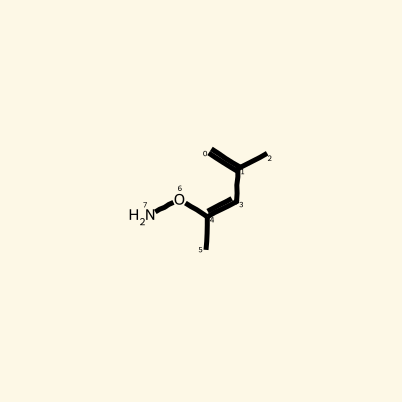 C=C(C)/C=C(/C)ON